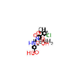 BC(B)(O)Oc1cn(CC(=O)Nc2ccc(C(=O)O)cc2)c(=O)cc1-c1cc(Cl)ccc1C(C)=O